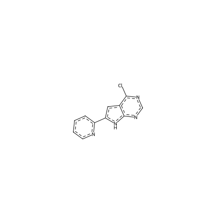 Clc1ncnc2[nH]c(-c3ccccn3)cc12